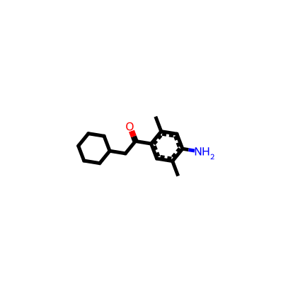 Cc1cc(C(=O)CC2CCCCC2)c(C)cc1N